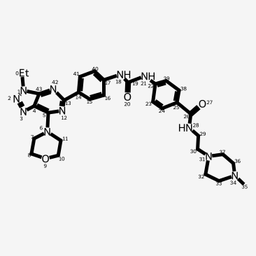 CCn1nnc2c(N3CCOCC3)nc(-c3ccc(NC(=O)Nc4ccc(C(=O)NCCN5CCN(C)CC5)cc4)cc3)nc21